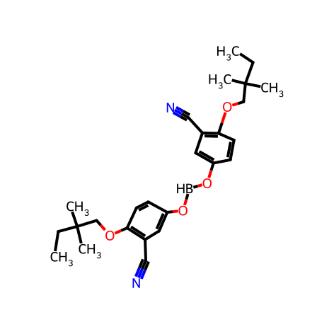 CCC(C)(C)COc1ccc(OBOc2ccc(OCC(C)(C)CC)c(C#N)c2)cc1C#N